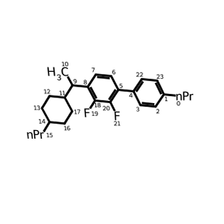 CCCc1ccc(-c2ccc(C(C)C3CCC(CCC)CC3)c(F)c2F)cc1